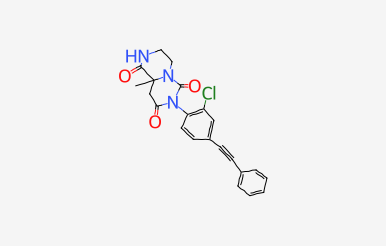 CC12CC(=O)N(c3ccc(C#Cc4ccccc4)cc3Cl)C(=O)N1CCNC2=O